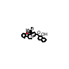 COC(=O)C1=CC(C(=O)c2ccc3ccccc3c2O)=CN2CCc3c([nH]c4ccccc34)C12C(=O)OC